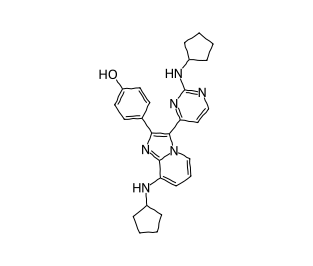 Oc1ccc(-c2nc3c(NC4CCCC4)cccn3c2-c2ccnc(NC3CCCC3)n2)cc1